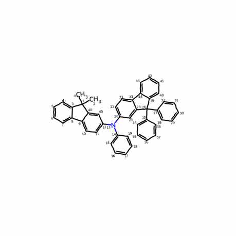 CC1(C)c2ccccc2-c2ccc(N(c3ccccc3)c3ccc4c(c3)C(c3ccccc3)(c3ccccc3)c3ccccc3-4)cc21